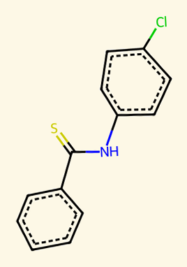 S=C(Nc1ccc(Cl)cc1)c1ccccc1